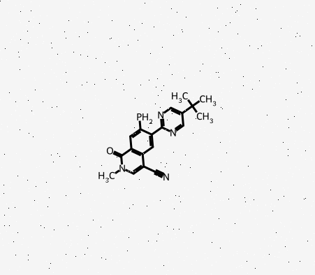 Cn1cc(C#N)c2cc(-c3ncc(C(C)(C)C)cn3)c(P)cc2c1=O